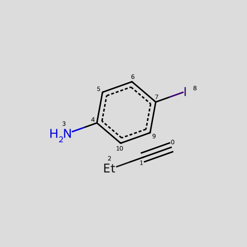 C#CCC.Nc1ccc(I)cc1